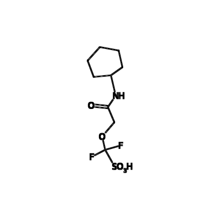 O=C(COC(F)(F)S(=O)(=O)O)NC1CCCCC1